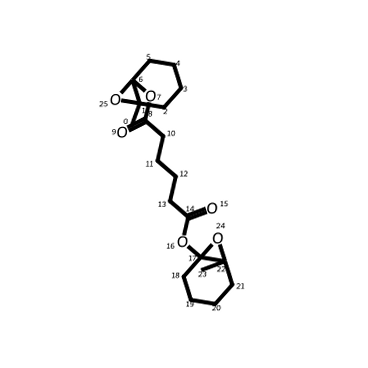 CC12CCCCC1(OC(=O)CCCCC(=O)OC13CCCCC1(C)O3)O2